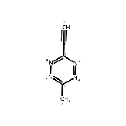 C#Cc1nnc(C)nn1